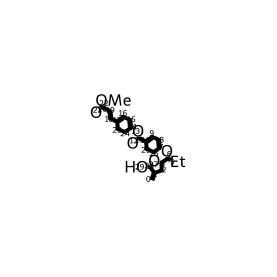 C=C1CC(C(CC)OC2=CC=C(C(=O)OC3=CC=C(/C=C/C(=O)OC)CC3)CC2)OC1O